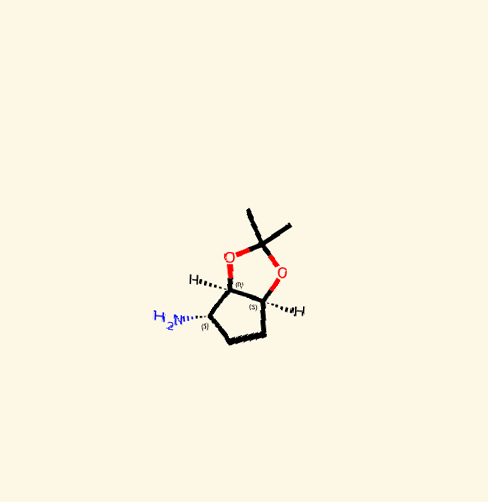 CC1(C)O[C@H]2[C@H](CC[C@@H]2N)O1